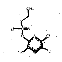 CCOP(=S)(Cl)Oc1nc(Cl)c(Cl)cc1Cl